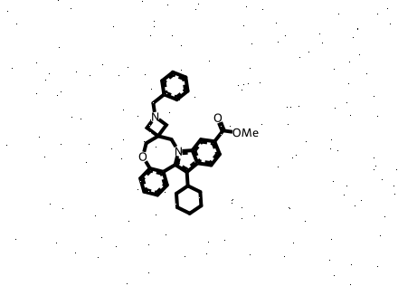 COC(=O)c1ccc2c(C3CCCCC3)c3n(c2c1)CC1(COc2ccccc2-3)CN(Cc2ccccc2)C1